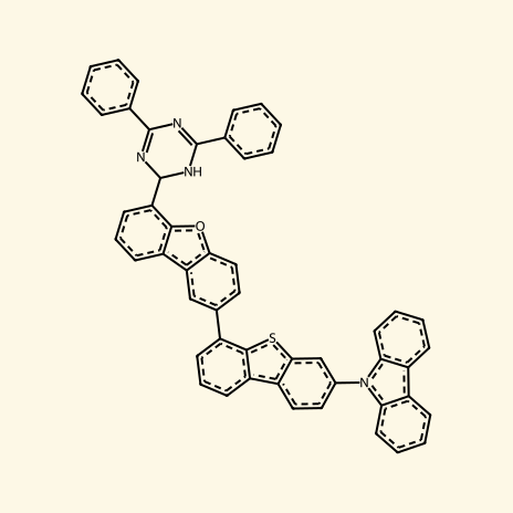 c1ccc(C2=NC(c3cccc4c3oc3ccc(-c5cccc6c5sc5cc(-n7c8ccccc8c8ccccc87)ccc56)cc34)NC(c3ccccc3)=N2)cc1